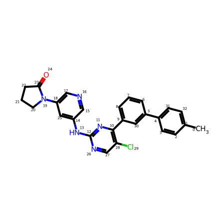 Cc1ccc(-c2cccc(-c3nc(Nc4cncc(N5CCCC5=O)c4)ncc3Cl)c2)cc1